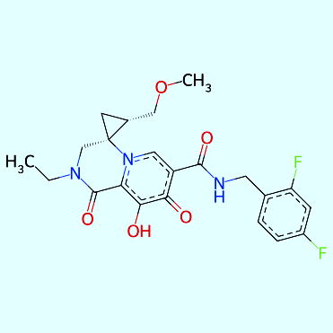 CCN1C[C@@]2(C[C@@H]2COC)n2cc(C(=O)NCc3ccc(F)cc3F)c(=O)c(O)c2C1=O